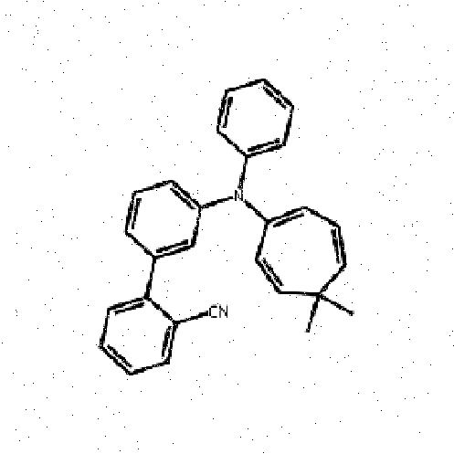 CC1(C)C=CC=C(N(c2ccccc2)c2cccc(-c3ccccc3C#N)c2)C=C1